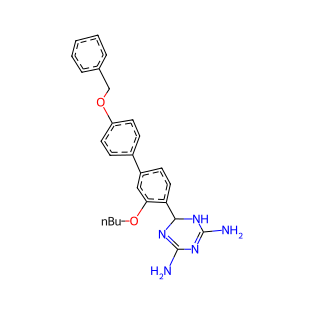 CCCCOc1cc(-c2ccc(OCc3ccccc3)cc2)ccc1C1N=C(N)N=C(N)N1